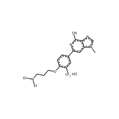 CCN(CC)CCCOc1ccc(-c2cc3c(ncn3C)c(C#N)n2)cc1C(F)(F)F.Cl